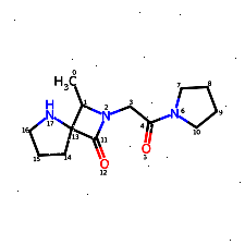 CC1N(CC(=O)N2CCCC2)C(=O)C12CCCN2